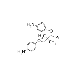 CC(C)C(Oc1ccc(N)cc1)C(C)(C)COc1ccc(N)cc1